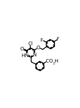 O=C(O)c1cccc(Cc2nc(OCc3ccc(F)cc3F)c(Cl)c(=O)[nH]2)c1